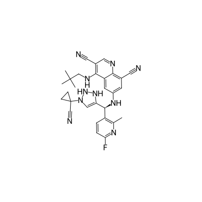 Cc1nc(F)ccc1[C@H](Nc1cc(C#N)c2ncc(C#N)c(NCC(C)(C)C)c2c1)C1=CN(C2(C#N)CC2)NN1